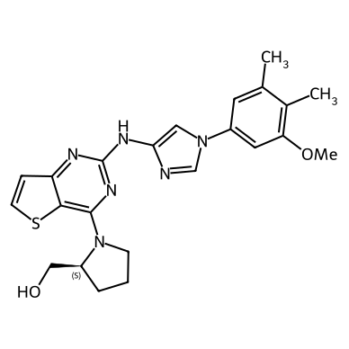 COc1cc(-n2cnc(Nc3nc(N4CCC[C@H]4CO)c4sccc4n3)c2)cc(C)c1C